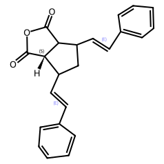 O=C1OC(=O)[C@H]2C(/C=C/c3ccccc3)CC(/C=C/c3ccccc3)C12